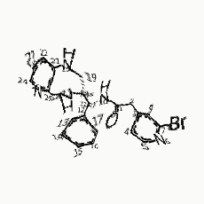 O=C(Cc1ccnc(Br)c1)N[C@H](c1ccccc1)[C@H]1CNc2cccnc2N1